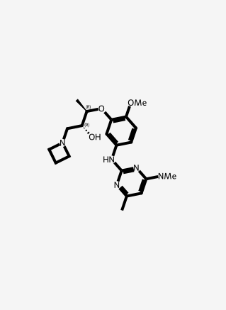 CNc1cc(C)nc(Nc2ccc(OC)c(O[C@H](C)[C@H](O)CN3CCC3)c2)n1